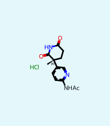 CC(=O)Nc1ccc([C@@]2(C)CCC(=O)NC2=O)cn1.Cl